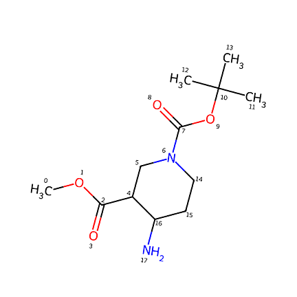 COC(=O)C1CN(C(=O)OC(C)(C)C)CCC1N